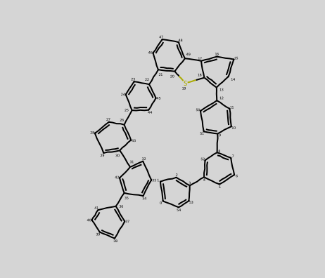 c1ccc(-c2cccc(-c3ccc(-c4cccc5c4sc4c(-c6ccc(-c7cccc(-c8cccc(-c9ccccc9)c8)c7)cc6)cccc45)cc3)c2)cc1